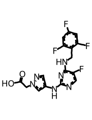 O=C(O)Cn1cc(Nc2ncc(F)c(NCc3c(F)cc(F)cc3F)n2)cn1